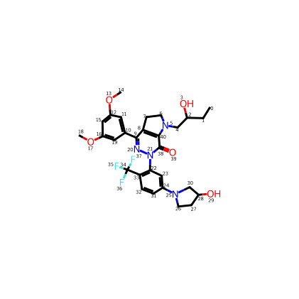 CCC(O)CN1CCc2c(-c3cc(OC)cc(OC)c3)nn(-c3cc(N4CCC(O)C4)ccc3C(F)(F)F)c(=O)c21